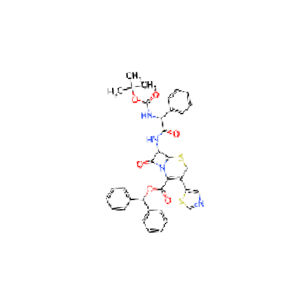 CC(C)(C)OC(=O)NC(C(=O)NC1C(=O)N2C(C(=O)OC(c3ccccc3)c3ccccc3)=C(c3cncs3)CSC12)c1ccccc1